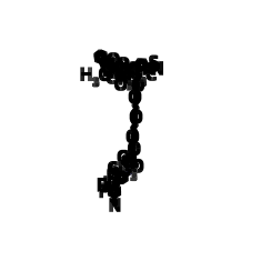 COc1cc(/C=C2\SC(=O)N(CCOCCOCCCCOCCCCOCCOCCOc3cc(-c4scnc4C)ccc3CNC(=O)[C@@H]3C[C@@H](O)CN3C(=O)[C@H](C(C)C)N3Cc4ccccc4C3=O)C2=O)ccc1Oc1ccc(C#N)cc1C(F)(F)F